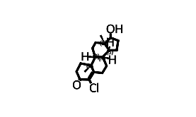 C[C@]12CCC(=O)C(Cl)=C1CC[C@@H]1[C@H]2CC[C@]2(C)C(O)CC[C@@H]12